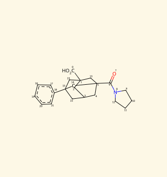 O=C(O)C12CC3CC(C(=O)N4CCCC4)(C1)CC(c1ccccc1)(C3)C2